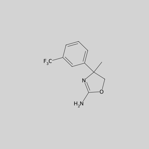 CC1(c2cccc(C(F)(F)F)c2)COC(N)=N1